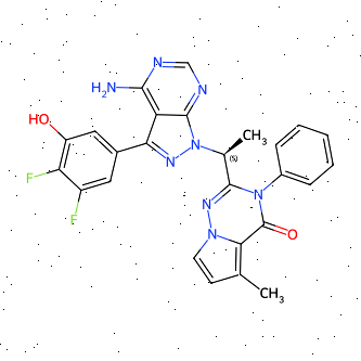 Cc1ccn2nc([C@H](C)n3nc(-c4cc(O)c(F)c(F)c4)c4c(N)ncnc43)n(-c3ccccc3)c(=O)c12